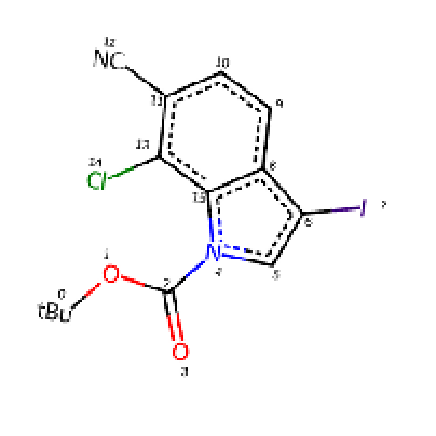 CC(C)(C)OC(=O)n1cc(I)c2ccc(C#N)c(Cl)c21